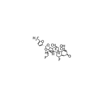 Cc1ccc([C@H]2O[C@@H]3C[C@H]4[C@@H]5C[C@H](F)C6=CC(=O)C=C[C@]6(C)[C@@]5(F)[C@@H](O)C[C@]4(C)[C@]3(C(=O)SCF)O2)o1